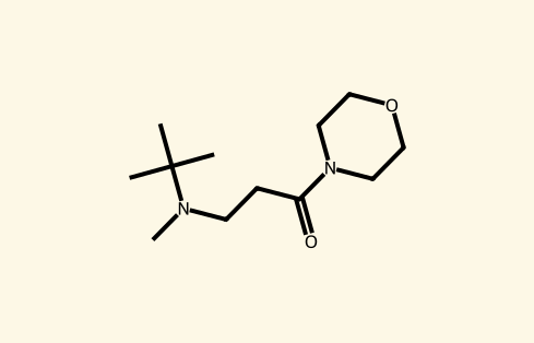 CN(CCC(=O)N1CCOCC1)C(C)(C)C